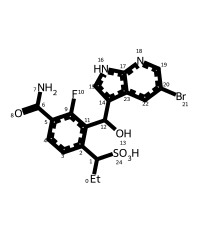 CCC(c1ccc(C(N)=O)c(F)c1C(O)c1c[nH]c2ncc(Br)cc12)S(=O)(=O)O